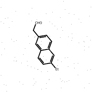 CCc1ccc2cc(CC=O)ccc2c1